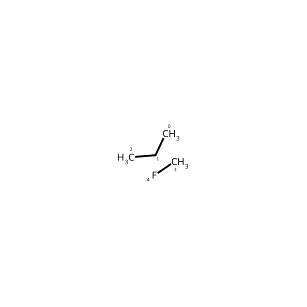 CCC.CF